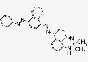 CC1(C)N=C2CC=C(N=Nc3ccc(N=Nc4ccccc4)c4ccccc34)c3cccc(c32)N1